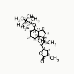 C[C@H](C[C@H]1C[C@H](C)C(=O)O1)[C@H]1CCC2C(O[Si](C)(C)C(C)(C)C)CCC[C@@]21C